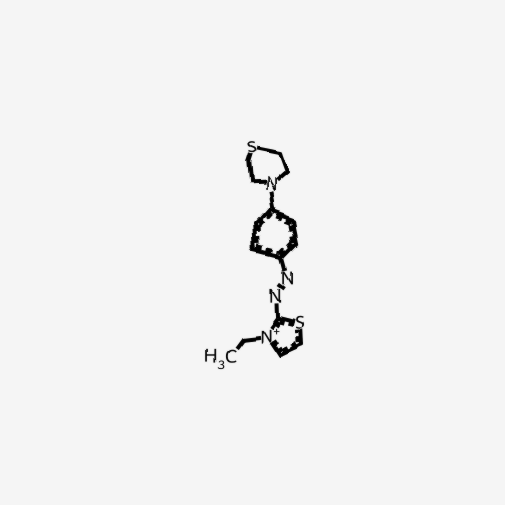 CC[n+]1ccsc1/N=N/c1ccc(N2CCSCC2)cc1